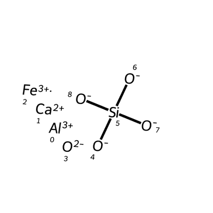 [Al+3].[Ca+2].[Fe+3].[O-2].[O-][Si]([O-])([O-])[O-]